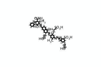 Cc1cc(N=Nc2c(SOOO)cc3cc(N=Nc4c(C)c(C(N)=O)c5nc6ccccc6n5c4O)ccc3c2O)c(OCCCS(=O)(=O)O)cc1N=Nc1nc2c(S(=O)(=O)O)cc(SOOO)cc2s1